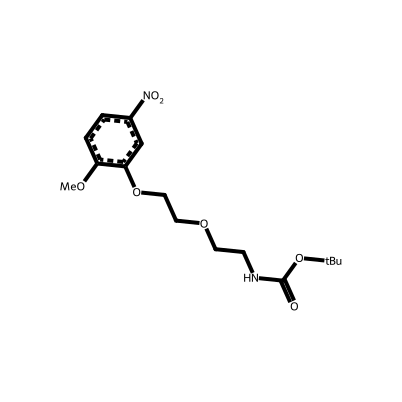 COc1ccc([N+](=O)[O-])cc1OCCOCCNC(=O)OC(C)(C)C